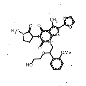 COc1ccccc1C(Cn1c(=O)n(C2CCN(C)C2=O)c(=O)c2c(C)c(-c3ncco3)sc21)OCCO